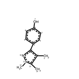 Cc1c(-c2ccc(O)cc2)nn(C)c1C